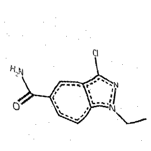 CCn1nc(Cl)c2cc(C(N)=O)ccc21